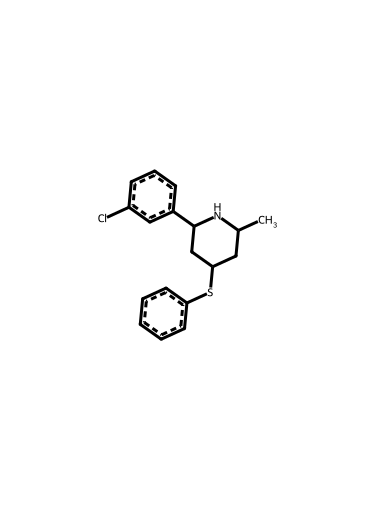 CC1CC(Sc2ccccc2)CC(c2cccc(Cl)c2)N1